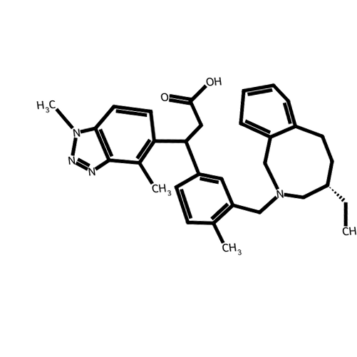 CC[C@H]1CCc2ccccc2CN(Cc2cc(C(CC(=O)O)c3ccc4c(nnn4C)c3C)ccc2C)C1